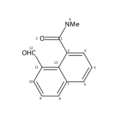 CNC(=O)c1cccc2cccc(C=O)c12